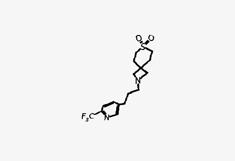 O=S1(=O)CCC2(CC1)CN(CCCc1ccc(C(F)(F)F)nc1)C2